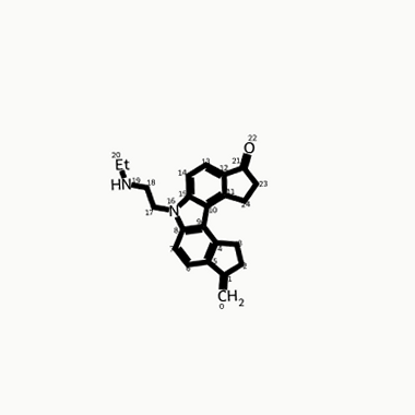 C=C1CCc2c1ccc1c2c2c3c(ccc2n1CCNCC)C(=O)CC3